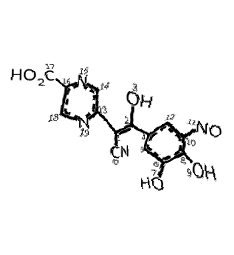 N#C/C(=C(/O)c1cc(O)c(O)c(N=O)c1)c1cnc(C(=O)O)cn1